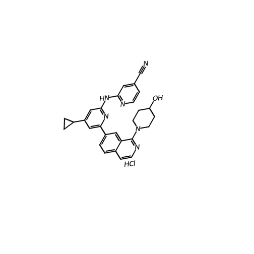 Cl.N#Cc1ccnc(Nc2cc(C3CC3)cc(-c3ccc4ccnc(N5CCC(O)CC5)c4c3)n2)c1